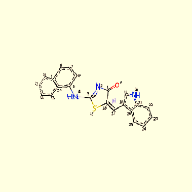 O=C1N=C(Nc2cccc3ccccc23)S/C1=C/c1c[nH]c2ccccc12